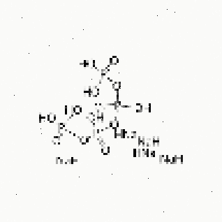 O=P(O)(O)OP(=O)(O)OP(=O)(O)OP(=O)(O)O.[NaH].[NaH].[NaH].[NaH].[NaH]